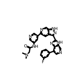 CN(C)CC(=O)Nc1cncc(-c2cc3c(-c4nc5c(-c6cccc(F)c6)cncc5[nH]4)n[nH]c3cn2)c1